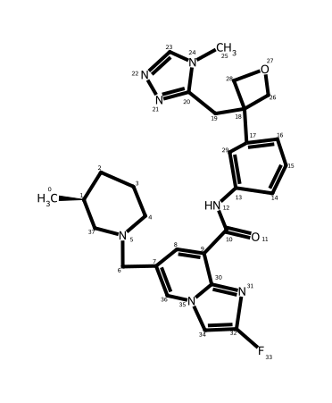 C[C@H]1CCCN(Cc2cc(C(=O)Nc3cccc(C4(Cc5nncn5C)COC4)c3)c3nc(F)cn3c2)C1